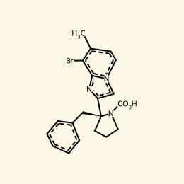 Cc1ccn2cc([C@@]3(Cc4ccccc4)CCCN3C(=O)O)nc2c1Br